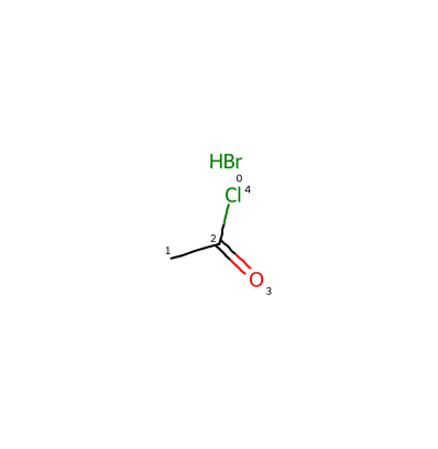 Br.CC(=O)Cl